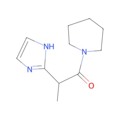 CC(C(=O)N1CCCCC1)c1ncc[nH]1